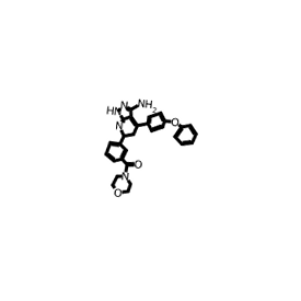 Nc1n[nH]c2c1=C(c1ccc(Oc3ccccc3)cc1)CC(c1cccc(C(=O)N3CCOCC3)c1)N=2